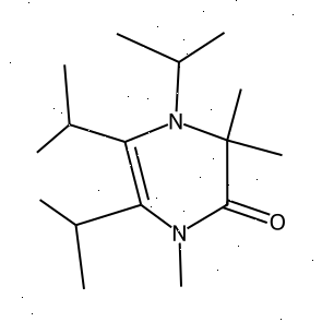 CC(C)C1=C(C(C)C)N(C(C)C)C(C)(C)C(=O)N1C